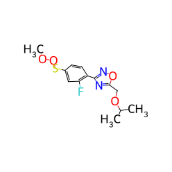 COOSc1ccc(-c2noc(COC(C)C)n2)c(F)c1